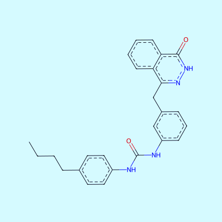 CCCCc1ccc(NC(=O)Nc2cccc(Cc3n[nH]c(=O)c4ccccc34)c2)cc1